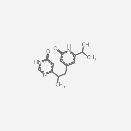 CC(C)c1cc(CC(C)c2cc(=O)[nH]cn2)cc(=O)[nH]1